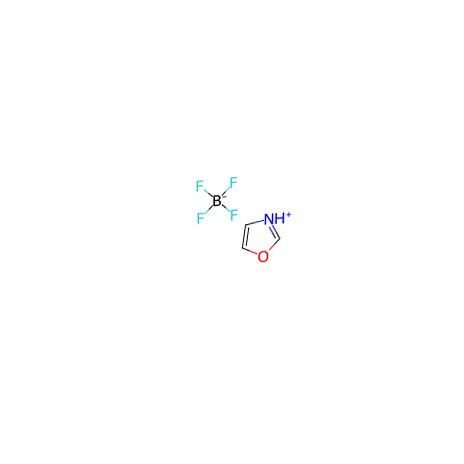 F[B-](F)(F)F.c1coc[nH+]1